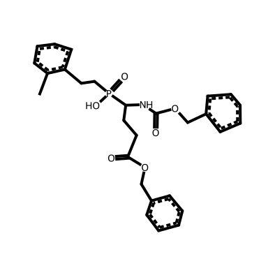 Cc1ccccc1CCP(=O)(O)C(CCC(=O)OCc1ccccc1)NC(=O)OCc1ccccc1